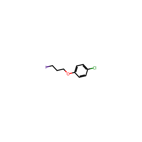 Clc1ccc(OCCCI)cc1